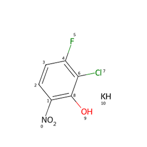 O=[N+]([O-])c1ccc(F)c(Cl)c1O.[KH]